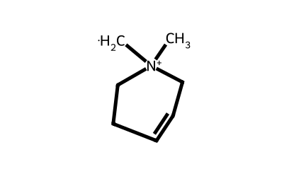 [CH2][N+]1(C)CC=CCC1